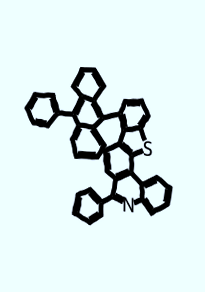 c1ccc(-c2c3ccccc3c(-c3cccc4sc5c(ccc6c(-c7ccccc7)nc7ccccc7c65)c34)c3ccccc23)cc1